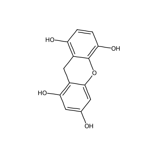 Oc1cc(O)c2c(c1)Oc1c(O)ccc(O)c1C2